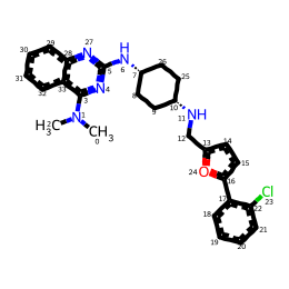 CN(C)c1nc(N[C@H]2CC[C@@H](NCc3ccc(-c4ccccc4Cl)o3)CC2)nc2ccccc12